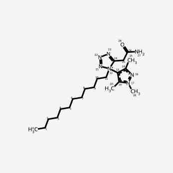 CCCCCCCCCCCC[N+]1(c2c(C)nn(C)c2C)N=NN=C1CC(N)=O